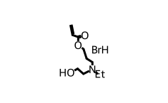 Br.C=CC(=O)OCCCN(CC)CCO